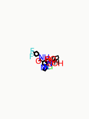 O=C(Nc1ccc(F)c(F)c1)c1ccc(Cl)c(S(=O)(=O)[C@@H]2CC3CC[C@@H](C2)[C@@]3(O)C(O)c2cccc(-n3cccn3)n2)c1